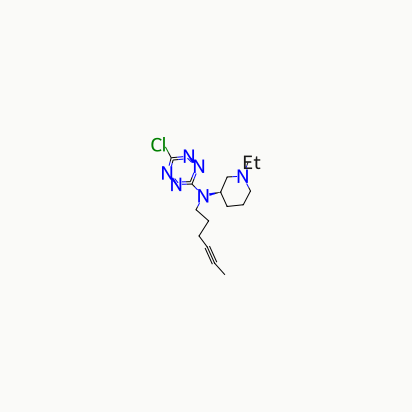 CC#CCCCN(c1nnc(Cl)nn1)[C@@H]1CCCN(CC)C1